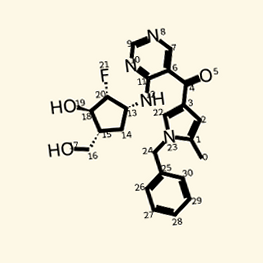 Cc1cc(C(=O)c2cncnc2N[C@@H]2C[C@H](CO)[C@@H](O)[C@@H]2F)cn1Cc1ccccc1